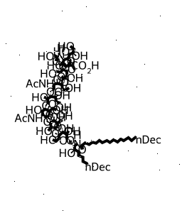 CCCCCCCCCCCCC/C=C/[C@@H](O)[C@H](CO[C@@H]1OC(CO)[C@@H](O[C@@H]2OC(CO)[C@H](O)[C@H](O[C@@H]3OC(CO)[C@@H](O[C@@H]4OC(CO)[C@H](O)[C@H](O[C@@H]5OC(CO)[C@@H](O[C@@H]6OC(CO)[C@H](O)[C@H](O[C@]7(C(=O)O)CC(O)[C@@H](NC(=O)CO)C([C@H](O)[C@H](O)CO)O7)C6O)[C@H](O)C5NC(C)=O)C4O)[C@H](O)C3NC(C)=O)C2O)[C@H](O)C1O)NC(=O)CCCCCCCCCCCCCCCCCCCCCCCCC